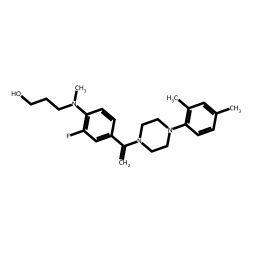 C=C(c1ccc(N(C)CCCO)c(F)c1)N1CCN(c2ccc(C)cc2C)CC1